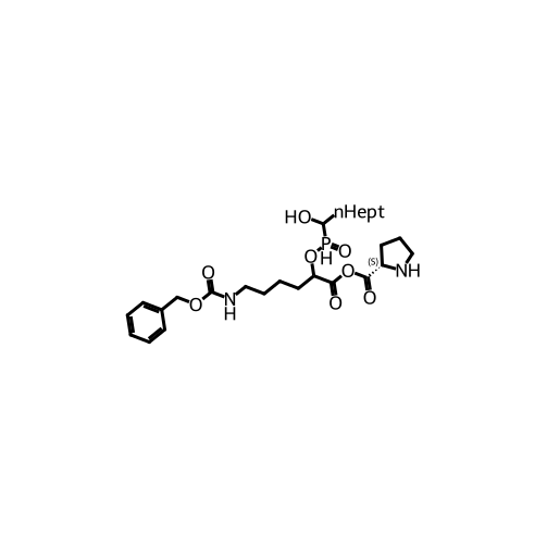 CCCCCCCC(O)[PH](=O)OC(CCCCNC(=O)OCc1ccccc1)C(=O)OC(=O)[C@@H]1CCCN1